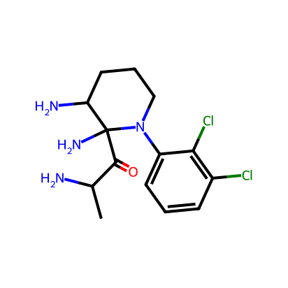 CC(N)C(=O)C1(N)C(N)CCCN1c1cccc(Cl)c1Cl